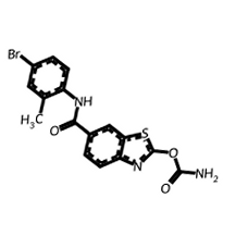 Cc1cc(Br)ccc1NC(=O)c1ccc2nc(OC(N)=O)sc2c1